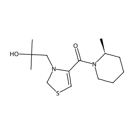 C[C@H]1CCCCN1C(=O)C1=CSCN1CC(C)(C)O